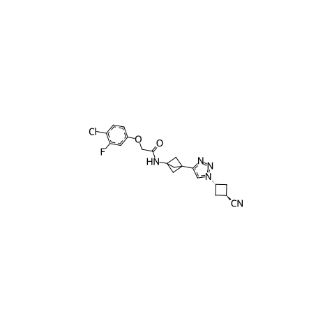 N#C[C@H]1C[C@H](n2cc(C34CC(NC(=O)COc5ccc(Cl)c(F)c5)(C3)C4)nn2)C1